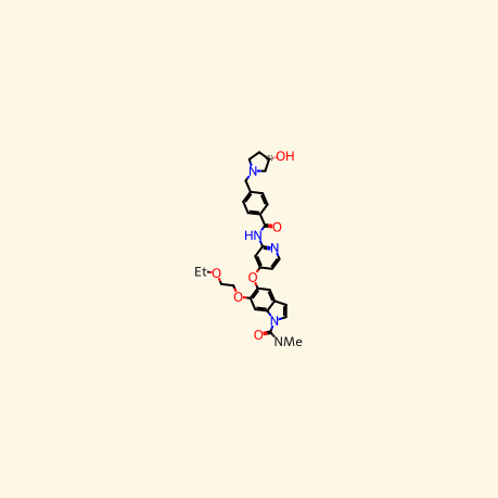 CCOCCOc1cc2c(ccn2C(=O)NC)cc1Oc1ccnc(NC(=O)c2ccc(CN3CC[C@H](O)C3)cc2)c1